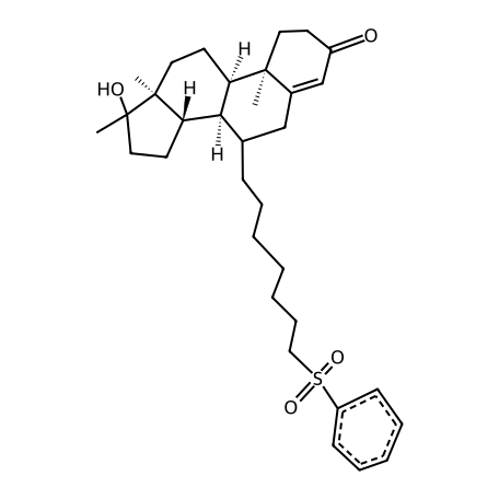 CC1(O)CC[C@H]2[C@@H]3C(CCCCCCCS(=O)(=O)c4ccccc4)CC4=CC(=O)CC[C@]4(C)[C@@H]3CC[C@@]21C